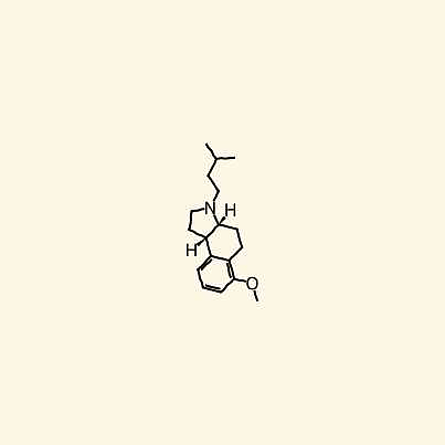 COc1cccc2c1CC[C@@H]1[C@H]2CCN1CCC(C)C